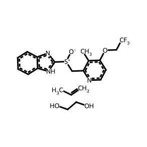 C=CC.Cc1c(OCC(F)(F)F)ccnc1C[S+]([O-])c1nc2ccccc2[nH]1.OCCO